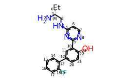 CC[C@@H](N)CNc1ccnc(-c2cc(-c3ccccc3F)ccc2O)n1